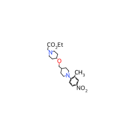 CCOC(=O)CN1CCC(OCC2CCN(c3ccc([N+](=O)[O-])cc3C)CC2)CC1